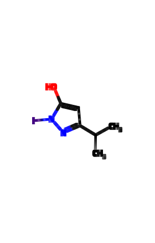 CC(C)c1cc(O)n(I)n1